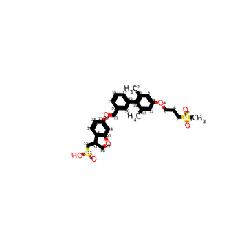 Cc1cc(OCCCS(C)(=O)=O)cc(C)c1-c1cccc(COc2ccc3c(c2)OCC3CS(=O)O)c1